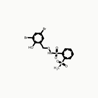 CS(=O)(=O)c1ccccc1S(=O)(=O)NOCc1cc(Br)cc(Br)c1O